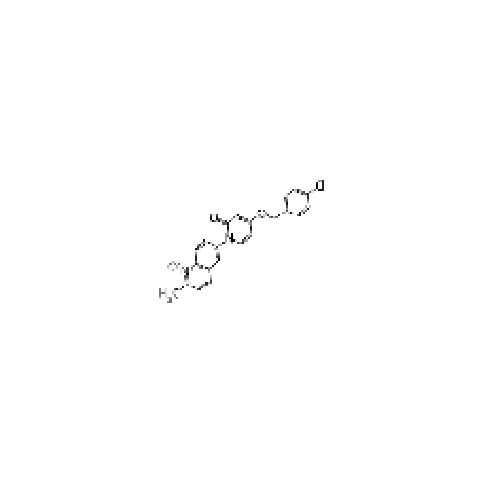 Cc1ccc2cc(-n3ccc(OCc4ccc(Cl)cc4)cc3=O)ccc2[n+]1[O-]